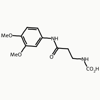 COc1ccc(NC(=O)CCNC(=O)O)cc1OC